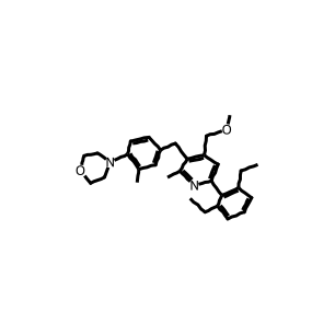 CCc1cccc(CC)c1-c1cc(COC)c(Cc2ccc(N3CCOCC3)c(C)c2)c(C)n1